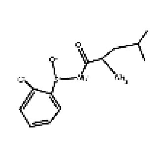 CC(C)CC(N)C(=O)N[S+]([O-])c1ccccc1Cl